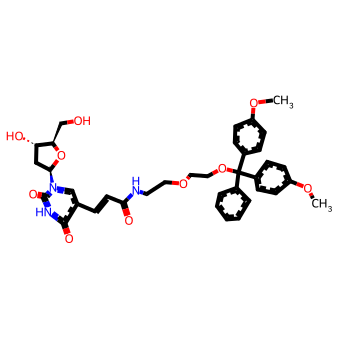 COc1ccc(C(OCCOCCNC(=O)/C=C/c2cn([C@H]3C[C@H](O)[C@@H](CO)O3)c(=O)[nH]c2=O)(c2ccccc2)c2ccc(OC)cc2)cc1